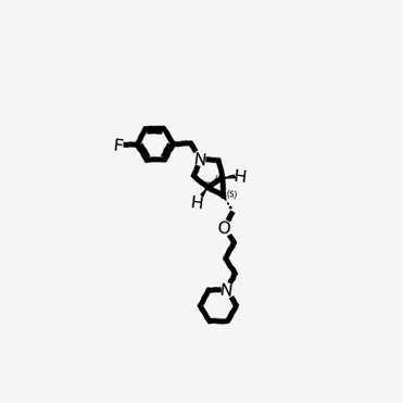 Fc1ccc(CN2C[C@@H]3[C@H](COCCCN4CCCCC4)[C@@H]3C2)cc1